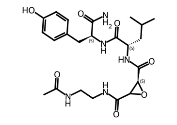 CC(=O)NCCNC(=O)C1O[C@@H]1C(=O)N[C@@H](CC(C)C)C(=O)N[C@@H](Cc1ccc(O)cc1)C(N)=O